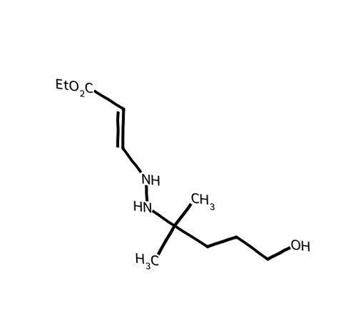 CCOC(=O)/C=C/NNC(C)(C)CCCO